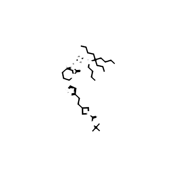 CCCCN(OS(=O)(=O)ON1C(=O)N2C[C@@H]1CC[C@H]2c1cc(CCC2CN(C(=O)OC(C)(C)C)C2)on1)C(CCC)(CCCC)CCCC